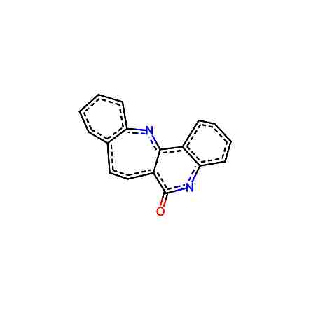 O=c1nc2ccccc2c2nc3ccccc3ccc1-2